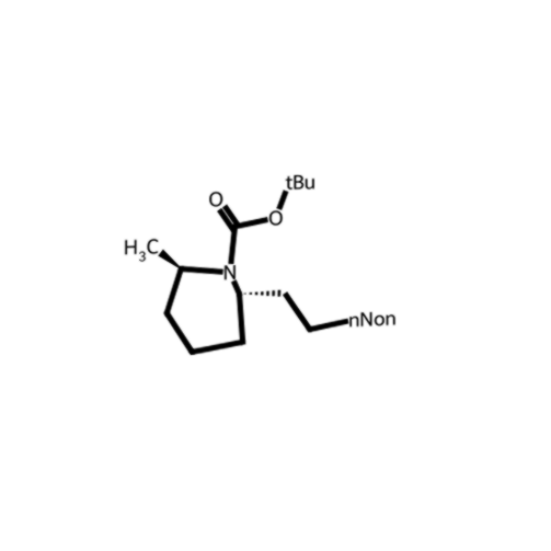 CCCCCCCCCCC[C@@H]1CCC[C@@H](C)N1C(=O)OC(C)(C)C